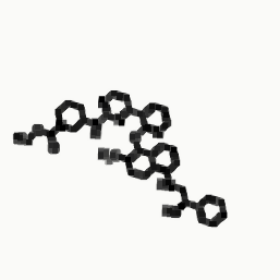 Cc1ccc2c(NC[C@H](O)c3ccccc3)cccc2c1Oc1ncccc1-c1ccnc(NC2CCCN(C(=O)OC(C)(C)C)C2)n1